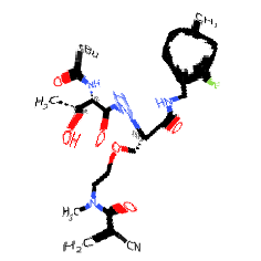 C=C(C#N)C(=O)N(C)CCOC[C@H](NC(=O)[C@@H](NC(=O)C(C)(C)C)[C@@H](C)O)C(=O)NCc1ccc(C)cc1F